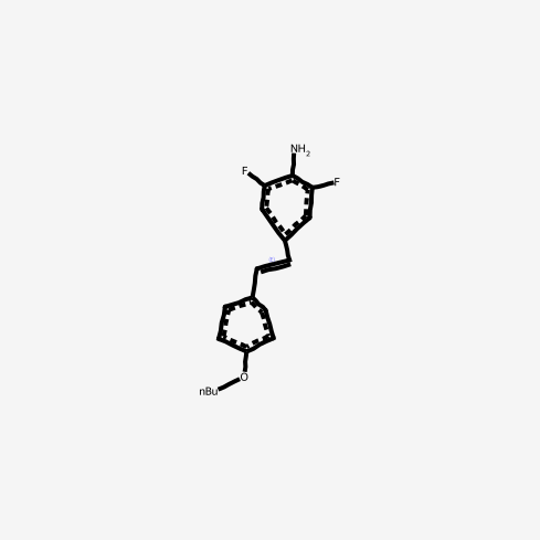 CCCCOc1ccc(/C=C/c2cc(F)c(N)c(F)c2)cc1